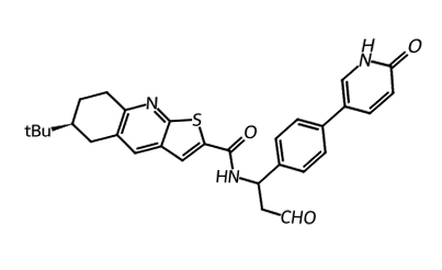 CC(C)(C)[C@H]1CCc2nc3sc(C(=O)NC(CC=O)c4ccc(-c5ccc(=O)[nH]c5)cc4)cc3cc2C1